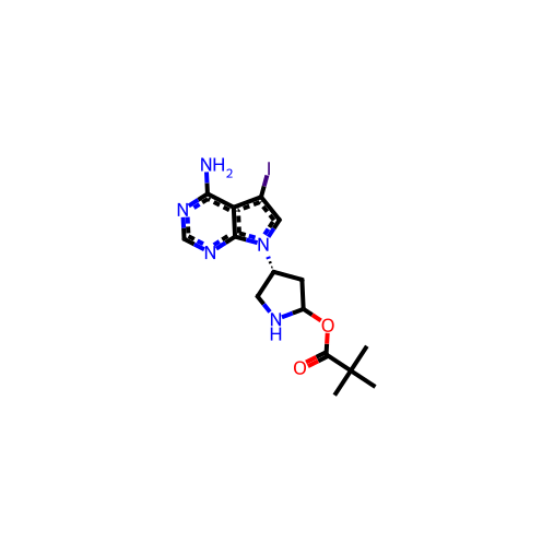 CC(C)(C)C(=O)OC1C[C@@H](n2cc(I)c3c(N)ncnc32)CN1